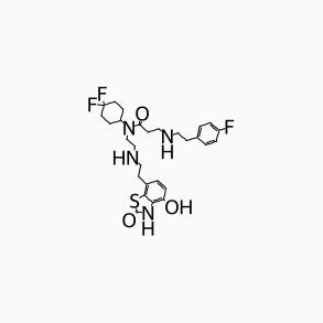 O=C(CCNCCc1ccc(F)cc1)N(CCNCCc1ccc(O)c2[nH]c(=O)sc12)C1CCC(F)(F)CC1